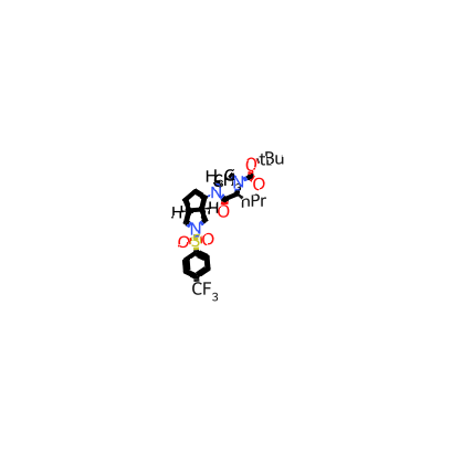 CCC[C@@H](C(=O)N(C)[C@H]1CC[C@@H]2CN(S(=O)(=O)c3ccc(C(F)(F)F)cc3)C[C@@H]21)N(C)C(=O)OC(C)(C)C